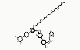 COCCOCCOCCOCCOCCCOc1nn([C@H]2CC[C@H](N3C[C@@H](C)O[C@@H](C)C3)CC2)cc1Nc1ncc(-c2ccc(Cl)c(O[C@@H](C)Cn3cncn3)c2)cn1